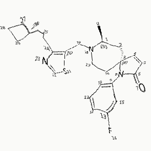 C[C@H]1C[C@@]2(C=CC(=O)N2c2cccc(F)c2)CCN1Cc1scnc1CC1CCC1